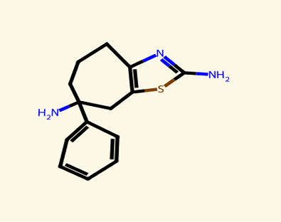 Nc1nc2c(s1)CC(N)(c1ccccc1)CCC2